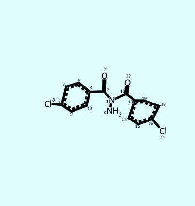 NN(C(=O)c1ccc(Cl)cc1)C(=O)c1ccc(Cl)cc1